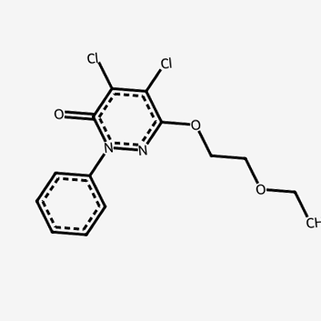 CCOCCOc1nn(-c2ccccc2)c(=O)c(Cl)c1Cl